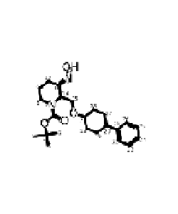 CC(C)(C)OC(=O)N1CCCC(=NO)C1COC1CCC(c2ccccc2)CC1